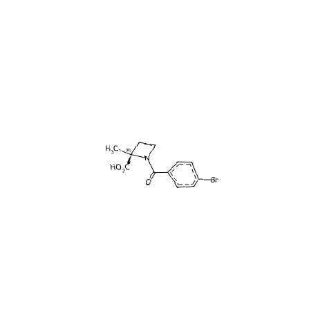 C[C@]1(C(=O)O)CCN1C(=O)c1ccc(Br)cc1